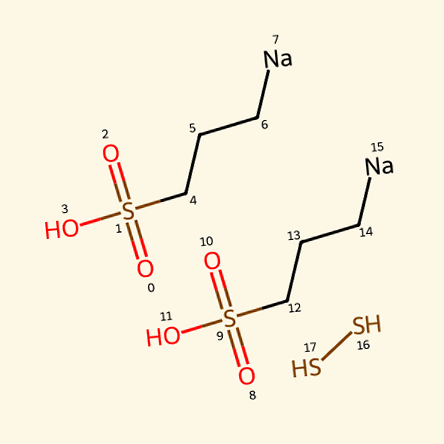 O=S(=O)(O)CC[CH2][Na].O=S(=O)(O)CC[CH2][Na].SS